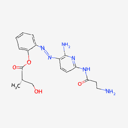 C[C@@H](CO)C(=O)Oc1ccccc1/N=N/c1ccc(NC(=O)CCN)nc1N